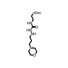 CCCCCCCCCCCCNC(=O)NNCCCN1CCOCC1